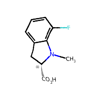 CN1c2c(F)cccc2C[C@H]1C(=O)O